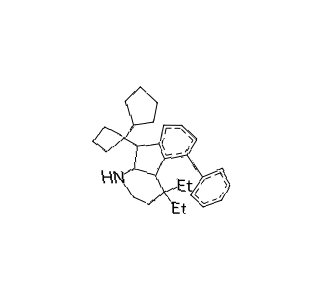 CCC1(CC)CCNC2C1c1c(-c3ccccc3)cccc1C2C1(C2CCCC2)CCC1